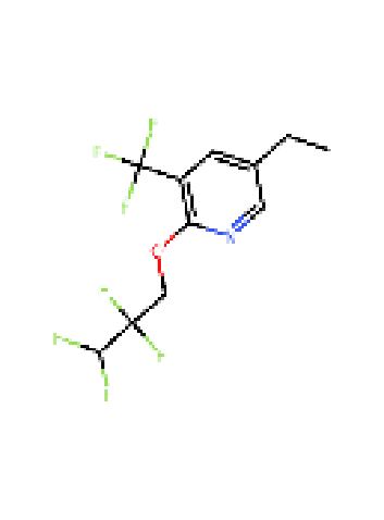 CCc1cnc(OCC(F)(F)C(F)F)c(C(F)(F)F)c1